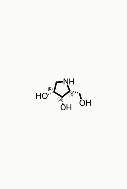 OC[C@H]1NC[C@@H](O)[C@H]1O